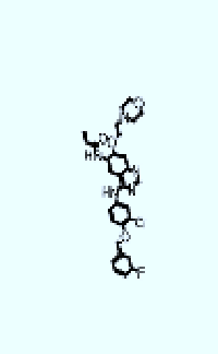 C=CC(=O)Nc1cc2c(Nc3ccc(OCc4cccc(F)c4)c(Cl)c3)ncnc2cc1OCCN1CCOCC1